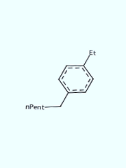 [CH2]CCCCCc1ccc(CC)cc1